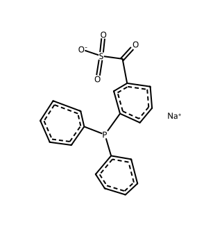 O=C(c1cccc(P(c2ccccc2)c2ccccc2)c1)S(=O)(=O)[O-].[Na+]